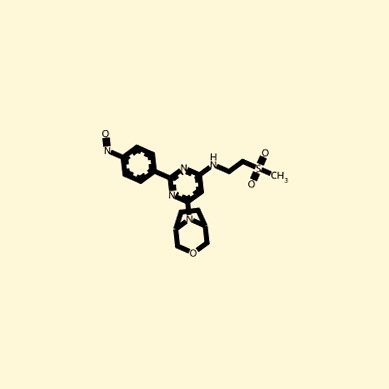 CS(=O)(=O)CCNc1cc(N2C3CCC2COC3)nc(-c2ccc(N=O)cc2)n1